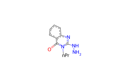 CCCn1c(NN)nc2ccccc2c1=O